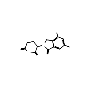 Cc1cc(I)cc2c1CN(C1CCC(=O)NC1=O)C2=O